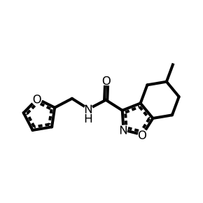 CC1CCc2onc(C(=O)NCc3ccco3)c2C1